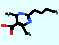 CCCCC1=NC(C)=C(C(=O)O)C(C)N1